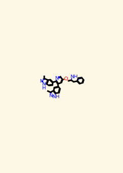 Cc1n[nH]c2ccc(-c3cc(OC[C@@H](N)Cc4ccccc4)cnc3-c3ccc4[nH]nc(C)c4c3)cc12